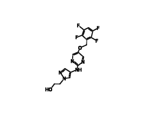 OCCn1cc(Nc2ncc(OCc3c(F)c(F)cc(F)c3F)cn2)cn1